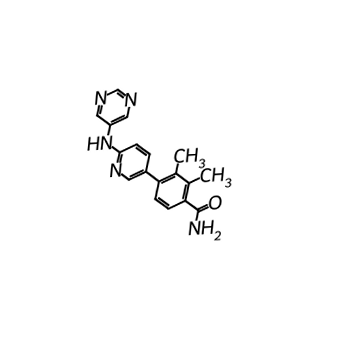 Cc1c(C(N)=O)ccc(-c2ccc(Nc3cncnc3)nc2)c1C